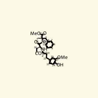 COC(=O)[C@](C)(Cc1ccccc1)NC(=O)[C@H](CC(=O)O)NCCCc1ccc(O)c(OC)c1